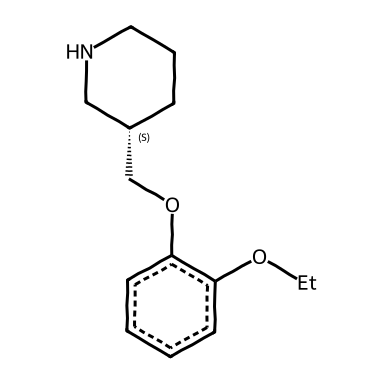 CCOc1ccccc1OC[C@H]1CCCNC1